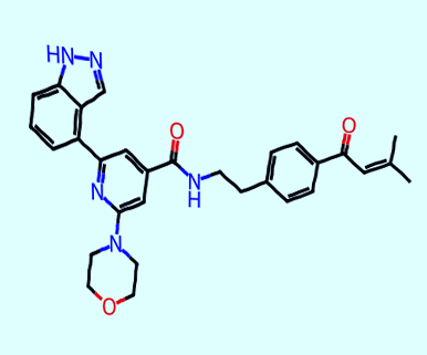 CC(C)=CC(=O)c1ccc(CCNC(=O)c2cc(-c3cccc4[nH]ncc34)nc(N3CCOCC3)c2)cc1